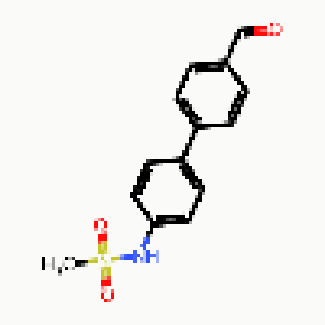 CS(=O)(=O)Nc1ccc(-c2ccc(C=O)cc2)cc1